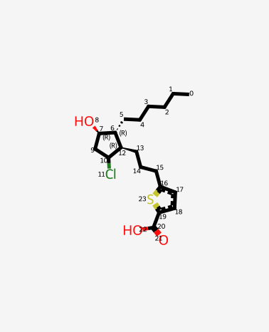 CCCCCC[C@H]1[C@H](O)CC(Cl)[C@@H]1CCCc1ccc(C(=O)O)s1